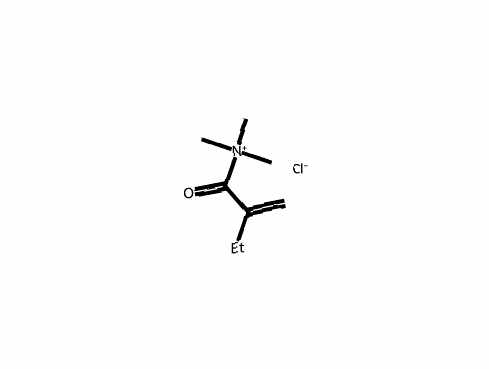 C=C(CC)C(=O)[N+](C)(C)C.[Cl-]